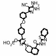 N#Cc1c(-c2cccc(OCc3ccc(-c4sc(N5CCc6cccc(C(=O)Nc7nc8ccccc8s7)c6C5)nc4OC(=O)O)cc3)c2)n[nH]c1N